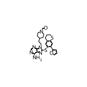 Nc1ncnc2c1nc(Sc1cc3c(cc1-c1ccco1)SCCC3)n2CCC1CCN(C=O)CC1